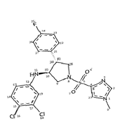 Cn1cnc(S(=O)(=O)N2C[C@@H](Nc3ccc(Cl)c(Cl)c3)[C@H](c3ccc(F)cc3)C2)c1